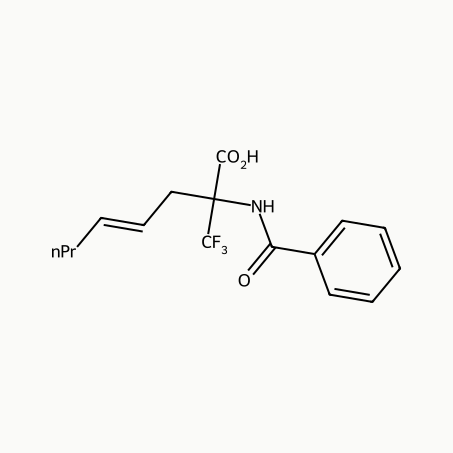 CCCC=CCC(NC(=O)c1ccccc1)(C(=O)O)C(F)(F)F